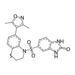 Cc1noc(C)c1-c1ccc2c(c1)N(S(=O)(=O)c1ccc3[nH]c(=O)[nH]c3c1)CCS2